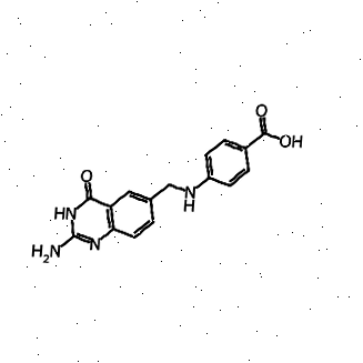 Nc1nc2ccc(CNc3ccc(C(=O)O)cc3)cc2c(=O)[nH]1